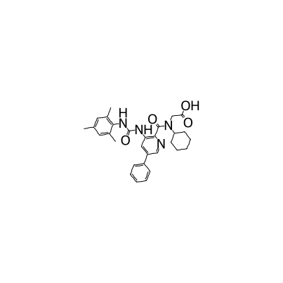 Cc1cc(C)c(NC(=O)Nc2cc(-c3ccccc3)cnc2C(=O)N(CC(=O)O)C2CCCCC2)c(C)c1